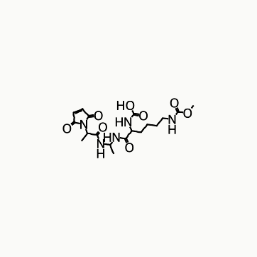 COC(=O)NCCCCC(NC(=O)O)C(=O)NC(C)NC(=O)C(C)N1C(=O)C=CC1=O